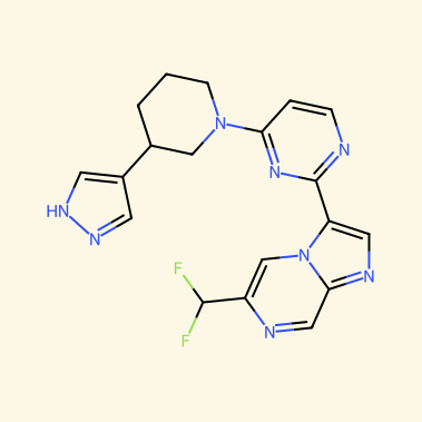 FC(F)c1cn2c(-c3nccc(N4CCCC(c5cn[nH]c5)C4)n3)cnc2cn1